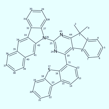 CC1(C)c2ccccc2-c2c(-c3cccc4c3sc3ccccc34)nc(-n3c4ccccc4c4cc5ccccc5cc43)nc21